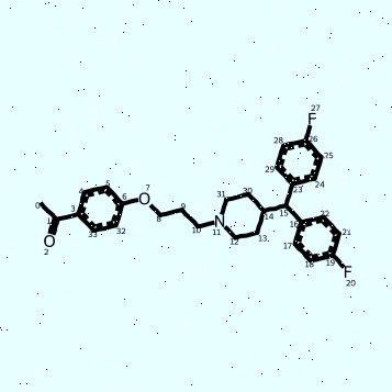 CC(=O)c1ccc(OCCCN2CCC(C(c3ccc(F)cc3)c3ccc(F)cc3)CC2)cc1